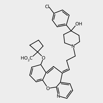 O=C(O)C1(OC2C=CC=C3Oc4ncccc4C(=CCCN4CCC(O)(c5ccc(Cl)cc5)CC4)C=C32)CCC1